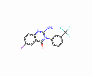 Nc1nc2ccc(I)cc2c(=O)n1-c1cccc(C(F)(F)F)c1